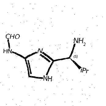 CC(C)[C@H](N)c1nc(NC=O)c[nH]1